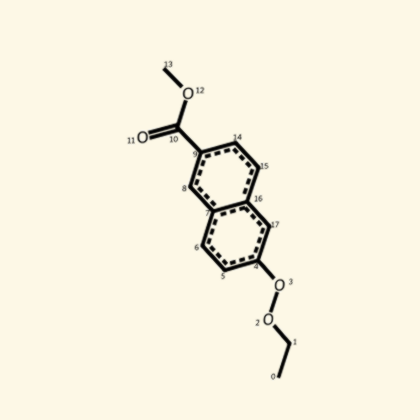 CCOOc1ccc2cc(C(=O)OC)ccc2c1